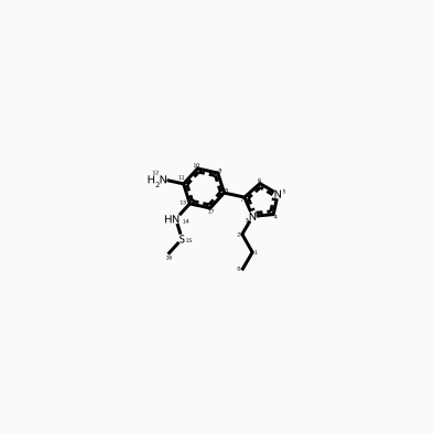 CCCn1cncc1-c1ccc(N)c(NSC)c1